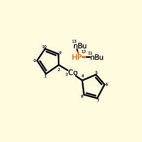 C1=C[CH]([Co][CH]2C=CC=C2)C=C1.CCCCPCCCC